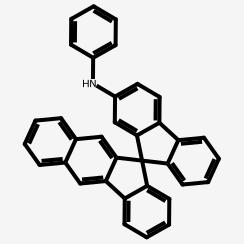 c1ccc(Nc2ccc3c(c2)C2(c4ccccc4-3)c3ccccc3-c3cc4ccccc4cc32)cc1